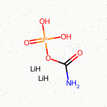 NC(=O)OP(=O)(O)O.[LiH].[LiH]